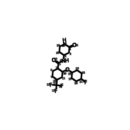 O=C1CC(NC(=O)C2CCC(C(F)(F)F)CC2OC2CCC(F)CC2)CCN1